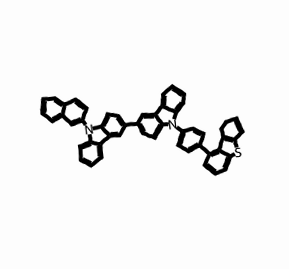 C1=Cc2sc3cccc(-c4ccc(-n5c6ccccc6c6cc(-c7ccc8c(c7)c7ccccc7n8-c7ccc8ccccc8c7)ccc65)cc4)c3c2CC1